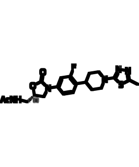 CC(=O)NC[C@H]1CN(c2ccc(C3CCN(c4nnc(C)s4)CC3)c(F)c2)C(=O)O1